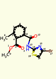 COC(=O)c1c(C)cccc1C(=O)Nc1nc(Br)cs1